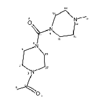 CC(=O)N1CCN(C(=O)N2CCN(C)CC2)CC1